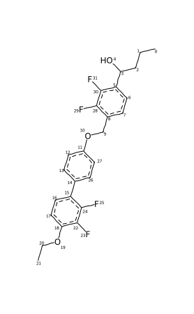 CCCC(O)c1ccc(COc2ccc(-c3ccc(OCC)c(F)c3F)cc2)c(F)c1F